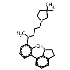 Cc1c(-c2cccc3c2CCC3)cccc1N(C)CCCN1CCC(C)(F)C1